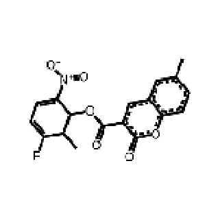 Cc1ccc2oc(=O)c(C(=O)OC3C([N+](=O)[O-])=CC=C(F)C3C)cc2c1